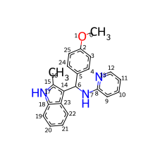 COc1ccc(C(Nc2ccccn2)c2c(C)[nH]c3ccccc23)cc1